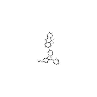 CC1(C)c2ccccc2Oc2ccc(-c3ccc4c(c3)c3cc(C#N)ccc3n4-c3ccncc3)cc21